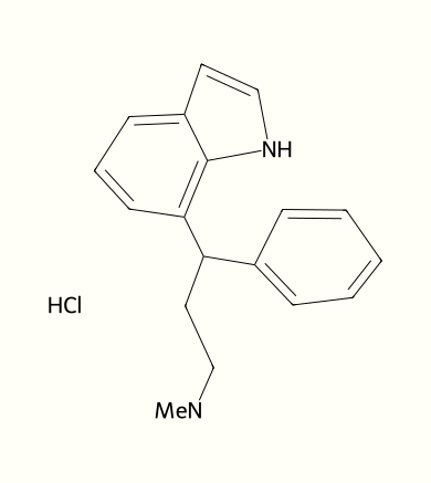 CNCCC(c1ccccc1)c1cccc2cc[nH]c12.Cl